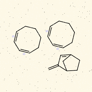 C1=C\CCCC\C=C/1.C1=C\CCCC\C=C/1.C=C1C=C2CCC1C2